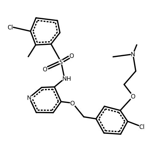 Cc1c(Cl)cccc1S(=O)(=O)Nc1cnccc1OCc1ccc(Cl)c(OCCN(C)C)c1